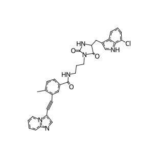 Cc1ccc(C(=O)NCCCN2C(=O)NC(Cc3c[nH]c4c(Cl)cccc34)C2=O)cc1C#Cc1cnc2ccccn12